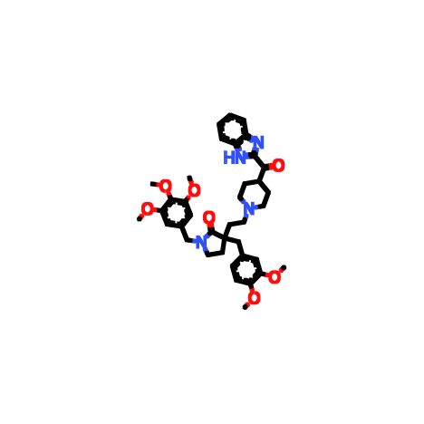 COc1ccc(CC2(CCN3CCC(C(=O)c4nc5ccccc5[nH]4)CC3)CCN(Cc3cc(OC)c(OC)c(OC)c3)C2=O)cc1OC